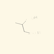 [CH2]C(O)CC(=O)O.[LiH]